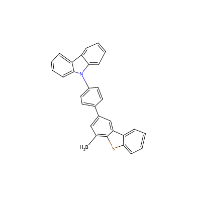 Bc1cc(-c2ccc(-n3c4ccccc4c4ccccc43)cc2)cc2c1sc1ccccc12